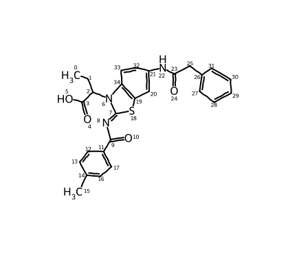 CCC(C(=O)O)n1/c(=N/C(=O)c2ccc(C)cc2)sc2cc(NC(=O)Cc3ccccc3)ccc21